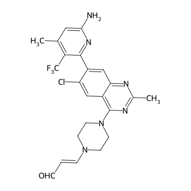 Cc1nc(N2CCN(C=CC=O)CC2)c2cc(Cl)c(-c3nc(N)cc(C)c3C(F)(F)F)cc2n1